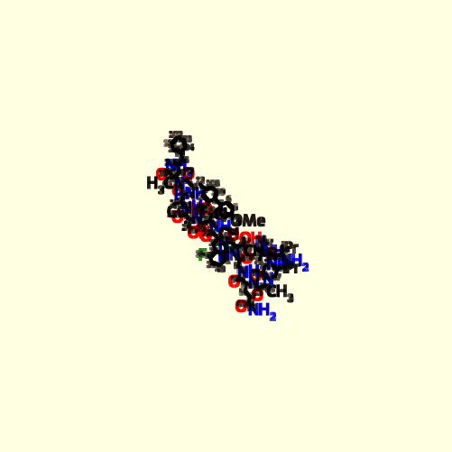 CCc1cc(OC)ccc1-c1ccc(C[C@H](NC(=O)[C@H](CC(=O)O)NC(=O)[C@H](CO)NC(=O)C(NC(=O)[C@](C)(Cc2c(F)cccc2F)NC(=O)[C@@H](NC(=O)CNC(=O)[C@H](CCC(N)=O)NC(=O)[C@@H](C)N(CCC(C)C)C(=O)[C@H](Cc2cnc[nH]2)NC(=O)C(N)C(C)C)[C@@H](C)O)[C@@H](C)O)C(=O)N[C@@](C)(CCCc2ccccc2)C(N)=O)cc1